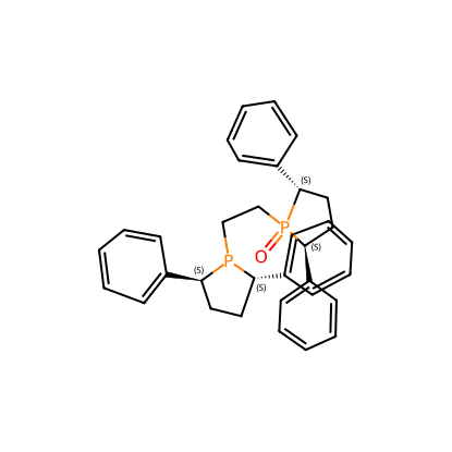 O=P1(CCP2[C@H](c3ccccc3)CC[C@H]2c2ccccc2)[C@H](c2ccccc2)CC[C@H]1c1ccccc1